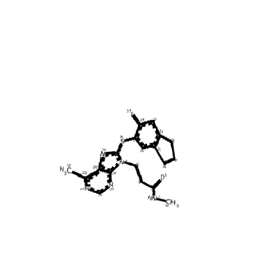 CNC(=O)CCn1c(Sc2cc3c(cc2I)CCC3)nc2c(C)ncnc21